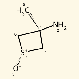 C[C@]1(N)C[S@+]([O-])C1